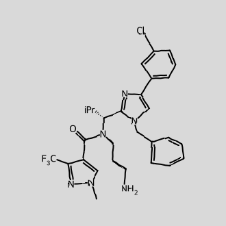 CC(C)[C@H](c1nc(-c2cccc(Cl)c2)cn1Cc1ccccc1)N(CCCN)C(=O)c1cn(C)nc1C(F)(F)F